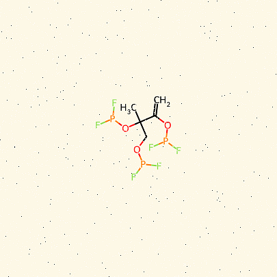 C=C(OP(F)F)C(C)(COP(F)F)OP(F)F